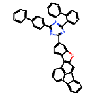 c1ccc(-c2ccc(-c3nc(-c4ccc5c(c4)oc4cc6c7c(cccc7c45)-c4ccccc4-6)nc(-c4ccccc4-c4ccccc4)n3)cc2)cc1